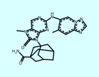 Cc1cc2ncnn2cc1Nc1ncc2c(n1)n(C13CC4CC(CC(C(N)=O)(C4)C1)C3)c(=O)n2C